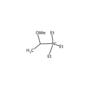 CC[N+](CC)(CC)C(C)OC